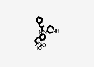 CC(Cc1ccccc1)c1nc2c3c(ccc2n1[C@H]1CCCNCC1)N(C(=O)O)[C@@H](C)CC3